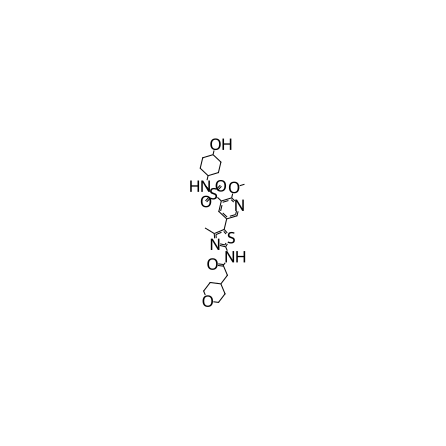 COc1ncc(-c2sc(NC(=O)CC3CCOCC3)nc2C)cc1S(=O)(=O)NC1CCC(O)CC1